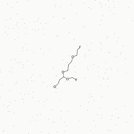 [O]CCC(OCF)OCCCOCCF